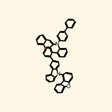 c1ccc(-c2ccc(N(c3ccc4ccccc4c3)c3ccccc3-c3ccccc3-c3ccc4c(c3)c3ccccc3n4-c3cccc4oc5ccccc5c34)cc2)cc1